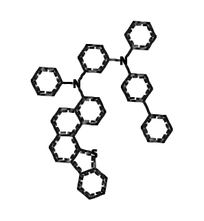 c1ccc(-c2ccc(N(c3ccccc3)c3cccc(N(c4ccccc4)c4cccc5c4ccc4ccc6c7ccccc7sc6c45)c3)cc2)cc1